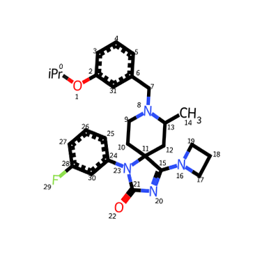 CC(C)Oc1cccc(CN2CCC3(CC2C)C(N2CCC2)=NC(=O)N3c2cccc(F)c2)c1